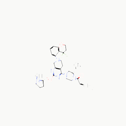 C=CC(=O)N1CCN(c2nc(OC[C@@H]3CCCN3C)nc3c2CCN(c2cccc4c2C(F)(F)CCO4)C3)C[C@@H]1CC#N